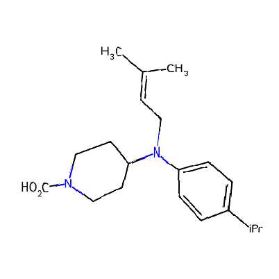 CC(C)=CCN(c1ccc(C(C)C)cc1)C1CCN(C(=O)O)CC1